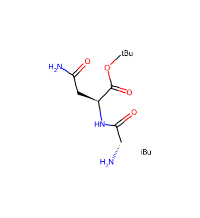 CC[C@H](C)[C@H](N)C(=O)N[C@@H](CC(N)=O)C(=O)OC(C)(C)C